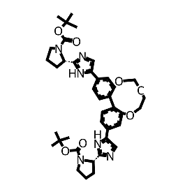 CC(C)(C)OC(=O)N1CCC[C@H]1c1ncc(-c2ccc3c(c2)OCCCCOc2cc(-c4cnc([C@@H]5CCCN5C(=O)OC(C)(C)C)[nH]4)ccc2-3)[nH]1